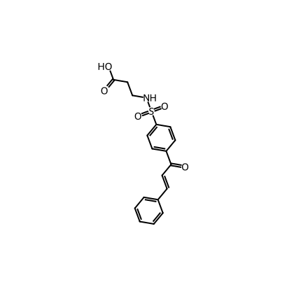 O=C(O)CCNS(=O)(=O)c1ccc(C(=O)/C=C/c2ccccc2)cc1